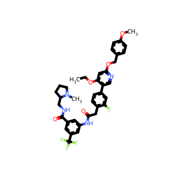 CCOc1cc(OCc2ccc(OC)cc2)ncc1-c1ccc(CC(=O)Nc2cc(C(=O)NCC3CCCN3C)cc(C(F)(F)F)c2)c(F)c1